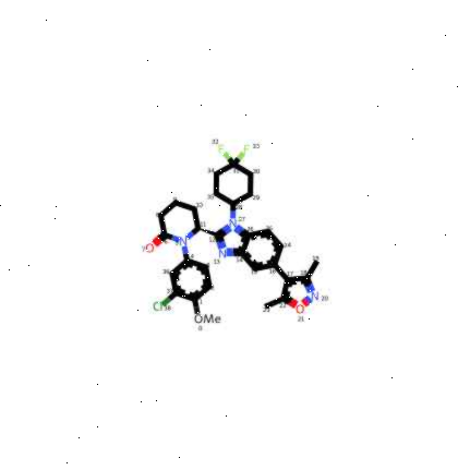 COc1ccc(N2C(=O)CCC[C@H]2c2nc3cc(-c4c(C)noc4C)ccc3n2C2CCC(F)(F)CC2)cc1Cl